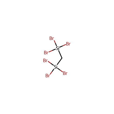 Br[Si](Br)(Br)C[Si](Br)(Br)Br